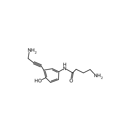 NCC#Cc1cc(NC(=O)CCCN)ccc1O